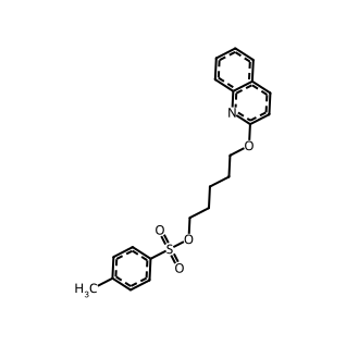 Cc1ccc(S(=O)(=O)OCCCCCOc2ccc3ccccc3n2)cc1